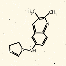 Cc1cc2cc(NN3C=NCC3)ccc2nc1C